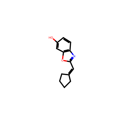 Oc1ccc2nc(C=C3CCCC3)oc2c1